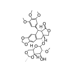 COc1cc([C@@H]2c3cc4c(cc3[C@@H](OC3O[C@@H]5CO[C@@H](C)O[C@H]5[C@H](O)[C@H]3OC)[C@H]3COC(=O)[C@H]23)OCO4)cc(OC)c1OC